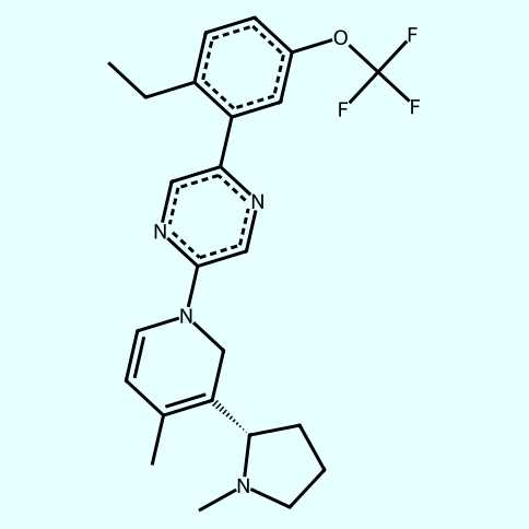 CCc1ccc(OC(F)(F)F)cc1-c1cnc(N2C=CC(C)=C([C@@H]3CCCN3C)C2)cn1